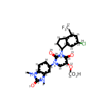 Cn1c(=O)n(C)c2cc(-n3cc(OC(=O)O)c(=O)n(C4CCc5c4cc(Cl)cc5C(F)(F)F)c3=O)ccc21